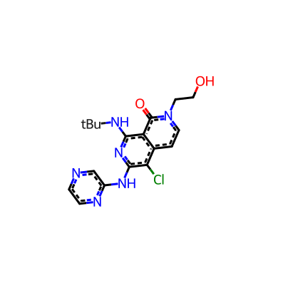 CC(C)(C)Nc1nc(Nc2cnccn2)c(Cl)c2ccn(CCO)c(=O)c12